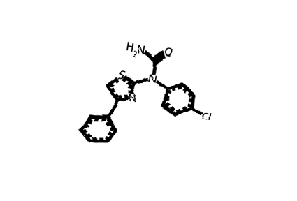 NC(=O)N(c1ccc(Cl)cc1)c1nc(-c2ccccc2)cs1